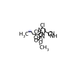 C/C=C\CC(C)(C)c1c(C(=O)OCC)nn2c(-c3cn[nH]c3)cc(Cl)nc12